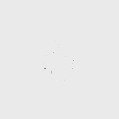 C=C(C)C(=O)OOC.CC(O)COC(C)CO